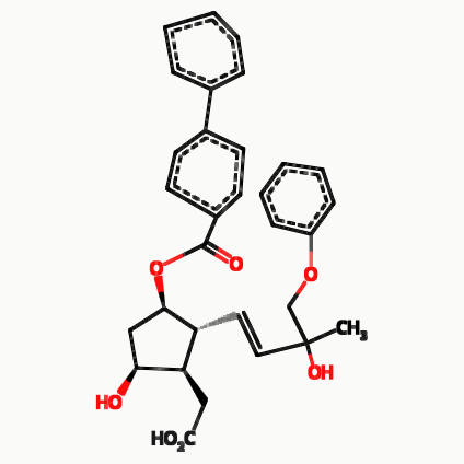 CC(O)(C=C[C@@H]1[C@@H](CC(=O)O)[C@@H](O)C[C@H]1OC(=O)c1ccc(-c2ccccc2)cc1)COc1ccccc1